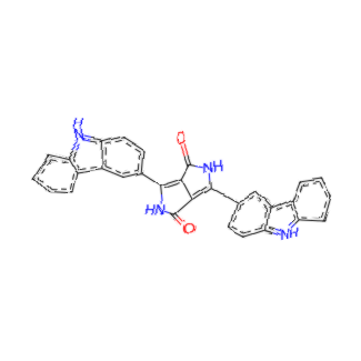 O=C1NC(c2ccc3[nH]c4ccccc4c3c2)=C2C(=O)NC(c3ccc4[nH]c5ccccc5c4c3)=C12